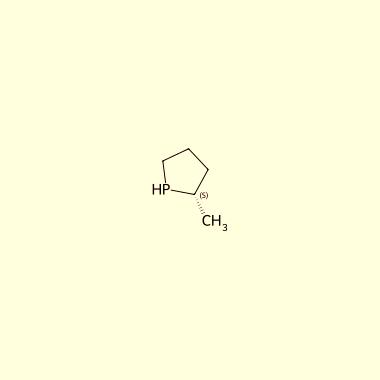 C[C@H]1CCCP1